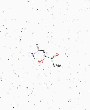 C=C(/C=C(\O)C(=O)NC)N(C)C